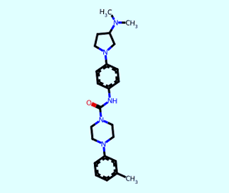 Cc1cccc(N2CCN(C(=O)Nc3ccc(N4CCC(N(C)C)C4)cc3)CC2)c1